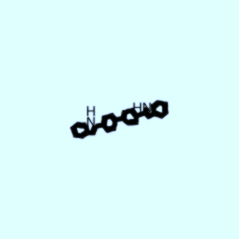 c1ccc2[nH]c(-c3ccc(-c4ccc(-c5cc6ccccc6[nH]5)cc4)cc3)cc2c1